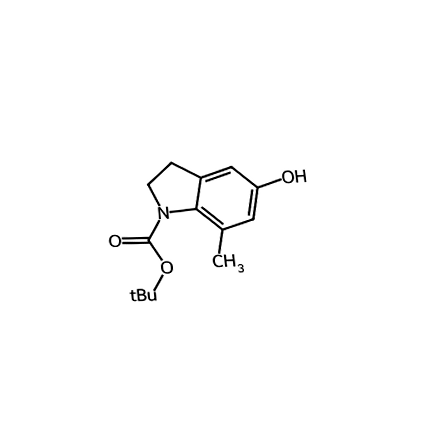 Cc1cc(O)cc2c1N(C(=O)OC(C)(C)C)CC2